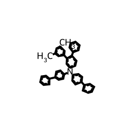 Cc1cc(C)cc(-c2cc(N(c3ccc(-c4ccccc4)cc3)c3ccc(-c4ccccc4)cc3)ccc2-c2ccccc2)c1